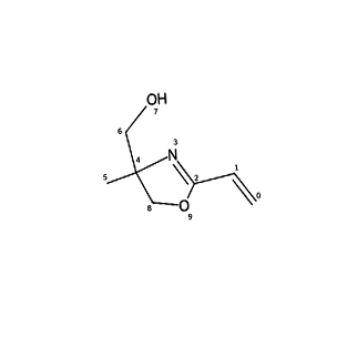 C=CC1=NC(C)(CO)CO1